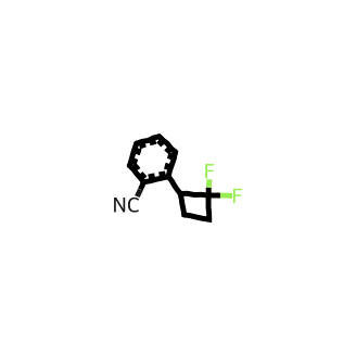 N#Cc1ccccc1C1CCC1(F)F